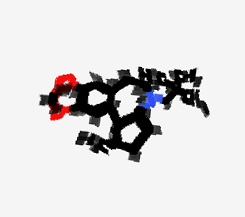 CC1=C2C(=[N+](C[Si](C)(C)C)CCc3cc4c(cc32)OCO4)CC1